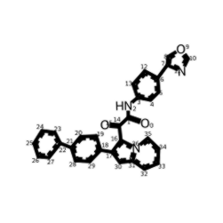 O=C(Nc1ccc(-c2cocn2)cc1)C(=O)c1c(-c2ccc(-c3ccccc3)cc2)cc2ccccn12